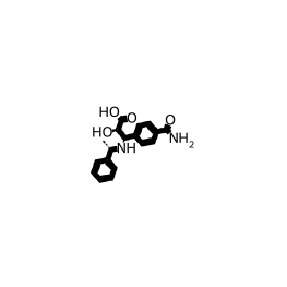 C[C@H](N[C@@H](c1ccc(C(N)=O)cc1)[C@@H](O)C(=O)O)c1ccccc1